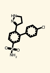 NS(=O)(=O)c1ccc(C2=NNCC2)c(-c2ccc(Cl)cc2)c1